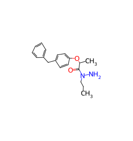 CCCN(N)C(=O)C(C)Oc1ccc(Cc2ccccc2)cc1